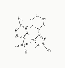 Cc1cc([C@H]2CNCCO2)no1.Cc1ccc(S(=O)(=O)O)cc1